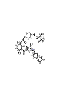 O=C(CN1CCNCC1)Nc1ccc(Cl)c(NC2=NC(=O)/C(=C/c3ccc4ncccc4c3)S2)c1.O=C(O)C(F)(F)F